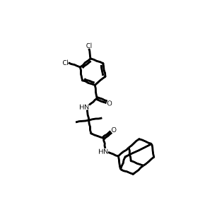 CC(C)(CC(=O)NC1C2CC3CC(C2)CC1C3)NC(=O)c1ccc(Cl)c(Cl)c1